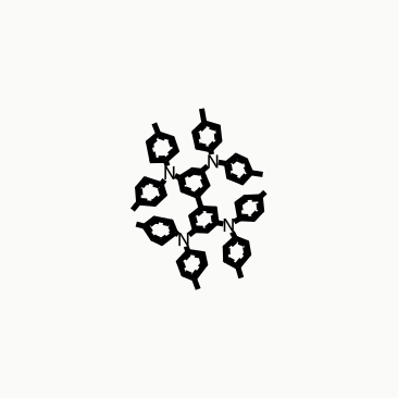 Cc1ccc(N(c2ccc(C)cc2)c2cc(-c3cc(N(c4ccc(C)cc4)c4ccc(C)cc4)cc(N(c4ccc(C)cc4)c4ccc(C)cc4)c3)cc(N(c3ccc(C)cc3)c3ccc(C)cc3)c2)cc1